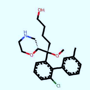 CO[C@](CCCCO)(c1cccc(Cl)c1-c1cccc(C)c1)[C@H]1CNCCO1